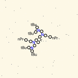 CCCc1ccc(-c2ccc(N(c3cccc(-n4c5ccc(C(C)(C)C)cc5c5cc(C(C)(C)C)ccc54)c3)c3ccc4c(c3)C(C)(C)c3cccc5c(N(c6ccc(-c7ccc(CCC)cc7)cc6)c6cccc(-n7c8ccc(C(C)(C)C)cc8c8cc(C(C)(C)C)ccc87)c6)ccc-4c35)cc2)cc1